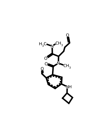 CN(C)C(=O)C(CCC=O)N(C)C(=O)c1cc(NC2CCC2)ccc1C=O